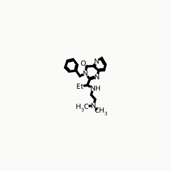 CCC(NCCN(C)C)c1nc2cccnc2c(=O)n1Cc1ccccc1